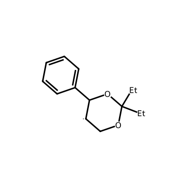 CCC1(CC)OC[CH]C(c2ccccc2)O1